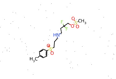 Cc1ccc(S(=O)(=O)CCCNCCC(F)(F)COS(C)(=O)=O)cc1